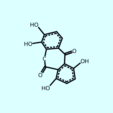 O=C1Cc2c(ccc(O)c2O)C(=O)c2c(O)ccc(O)c21